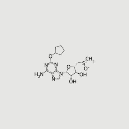 C[S+]([O-])C[C@H]1O[C@@H](n2cnc3c(N)nc(OC4CCCC4)nc32)[C@H](O)[C@@H]1O